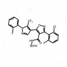 CC(=O)NNC(=O)c1c(-c2c(F)cccc2Cl)noc1-c1cnn(-c2ccccc2F)c1C(F)(F)F